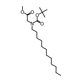 CCCCCCCCCCCCN(CC(=O)OC)C(=O)OC(C)(C)C